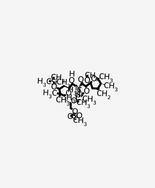 C=C1C[C@](OC)(C(O[Si](C)(C)C)C(=O)N[C@@H](O)[C@@H]2CC(O[Si](C)(C)C)C(C)(C)[C@@H](C[C@@H](COS(C)(=O)=O)OC)O2)O[C@H](C)[C@@H]1C